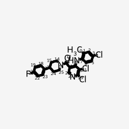 Cc1cc(Cl)ccc1Nc1c(C(=O)N2CCC(c3ccc(F)cc3)CC2)cnc(Cl)c1Cl